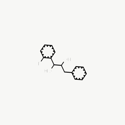 OC(Cc1ccccc1)C(O)c1ccccc1F